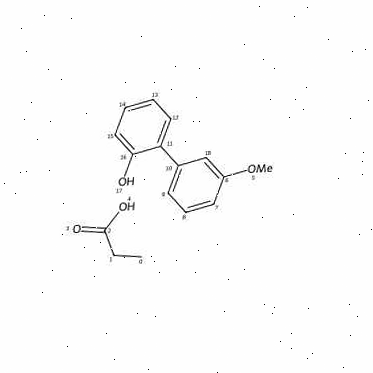 CCC(=O)O.COc1cccc(-c2ccccc2O)c1